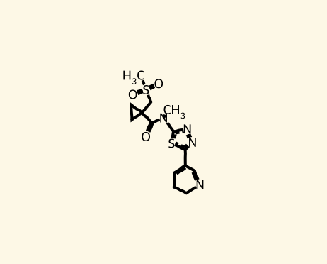 CN(C(=O)C1(CS(C)(=O)=O)CC1)c1nnc(C2=CCCN=C2)s1